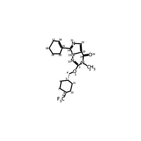 Cn1c(OC[C@H]2CC[C@H](C(F)(F)F)CC2)nn2c(C3=CCCCC3)ncc2c1=O